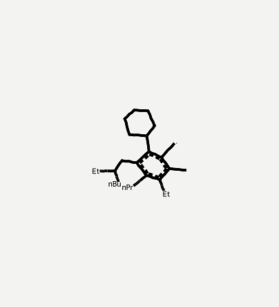 [CH2]c1c(C)c(CC)c(CCC)c(CC(CC)CCCC)c1C1CCCCC1